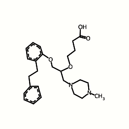 CN1CCN(CC(COc2ccccc2CCc2ccccc2)OCCCC(=O)O)CC1